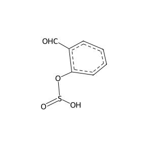 O=Cc1ccccc1OS(=O)O